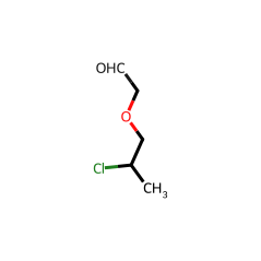 CC(Cl)COCC=O